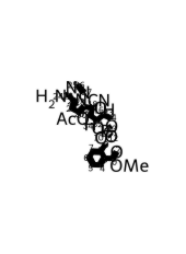 COC(=O)c1ccccc1COP1(=O)OC[C@H]2O[C@@](C#N)(c3ccc4c(N)ncnn34)[C@H](OC(C)=O)[C@@H]2O1